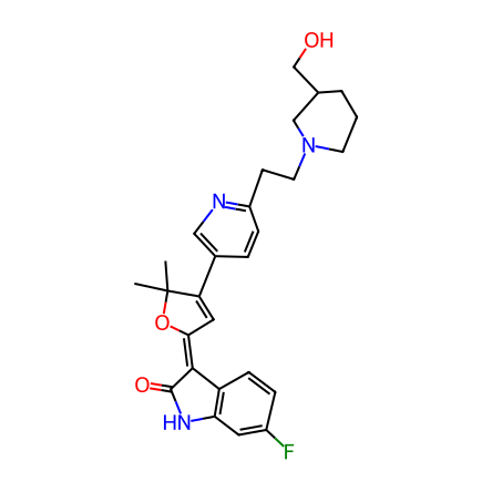 CC1(C)OC(=C2C(=O)Nc3cc(F)ccc32)C=C1c1ccc(CCN2CCCC(CO)C2)nc1